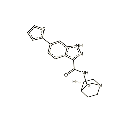 O=C(N[C@H]1CN2CCC1CC2)c1n[nH]c2cc(-c3cccs3)ccc12